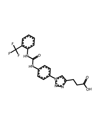 O=C(O)CCc1cn(-c2ccc(NC(=O)Nc3ccccc3C(F)(F)F)cc2)nn1